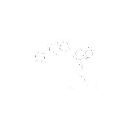 CC(C)N1CC2CC1CN2c1nc(-c2ccnc(NC(=O)c3ccccc3)c2)cc2nccn12